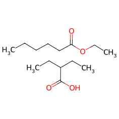 CCC(CC)C(=O)O.CCCCCC(=O)OCC